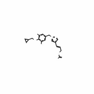 CC(=O)N[C@@H](C)/C=C/c1cnn(Cc2cc(F)c(OCC3CC3)c(Cl)c2)c1